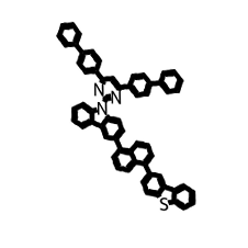 c1ccc(-c2ccc(-c3cc(-c4ccc(-c5ccccc5)cc4)nc(-n4c5ccccc5c5cc(-c6cccc7c(-c8ccc9sc%10ccccc%10c9c8)cccc67)ccc54)n3)cc2)cc1